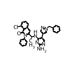 C[C@H](Nc1nc(N)ncc1-c1cnn(Cc2ccccc2)c1)c1cc2cccc(Cl)c2c(=O)n1-c1ccccc1